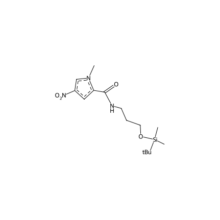 Cn1cc([N+](=O)[O-])cc1C(=O)NCCCO[Si](C)(C)C(C)(C)C